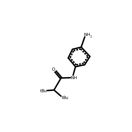 CC(C)(C)C(C(=O)Nc1ccc(N)cc1)C(C)(C)C